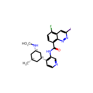 C[C@@H]1C[C@H](NC(=O)O)C[C@H](c2ccncc2NC(=O)c2ccc(F)c3cc(I)nnc23)C1